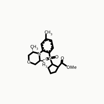 COC(=O)C1CCCC1S(=O)(=O)c1ccc(C)cc1N1[C@@H](C)COC[C@@H]1C